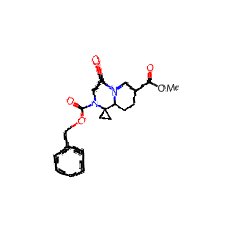 COC(=O)C1CCC2N(C1)C(=O)CN(C(=O)OCc1ccccc1)C21CC1